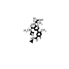 Cc1cc(F)c(C(=O)NC2CC2)cc1-c1cnc(NC(C)(C)CO)c(C(=O)N(C)C2COC2)c1